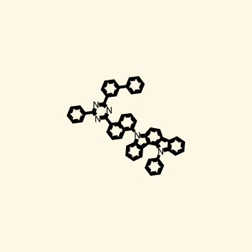 c1ccc(-c2cccc(-c3nc(-c4ccccc4)nc(-c4cccc5c(-n6c7ccccc7c7c6ccc6c8ccccc8n(-c8ccccc8)c67)cccc45)n3)c2)cc1